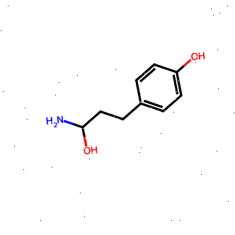 NC(O)CCc1ccc(O)cc1